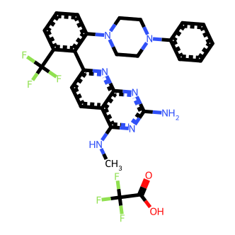 CNc1nc(N)nc2nc(-c3c(N4CCN(c5ccccc5)CC4)cccc3C(F)(F)F)ccc12.O=C(O)C(F)(F)F